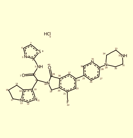 Cl.O=C(Nc1nccs1)C(c1ncn2c1CCC2)N1Cc2c(F)cc(-c3ccc(N4CCNCC4)nc3)cc2C1=O